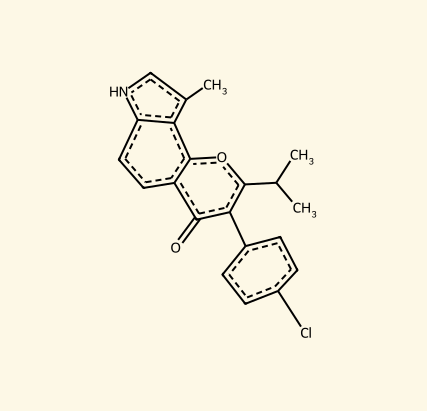 Cc1c[nH]c2ccc3c(=O)c(-c4ccc(Cl)cc4)c(C(C)C)oc3c12